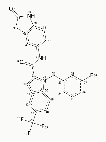 O=C1Cc2cc(NC(=O)c3cc4cc(C(F)(F)F)ccc4n3Cc3cccc(F)c3)ccc2N1